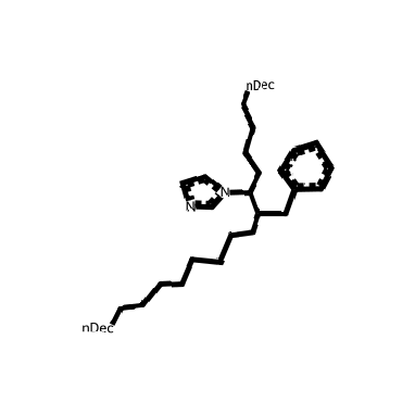 CCCCCCCCCCCCCCCCCCC(Cc1ccccc1)C(CCCCCCCCCCCCCC)n1ccnc1